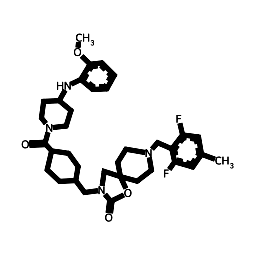 COc1ccccc1NC1CCN(C(=O)C2CCC(CN3CC4(CCN(Cc5c(F)cc(C)cc5F)CC4)OC3=O)CC2)CC1